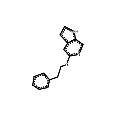 c1ccc(CCOc2cc3cc[nH]c3cn2)cc1